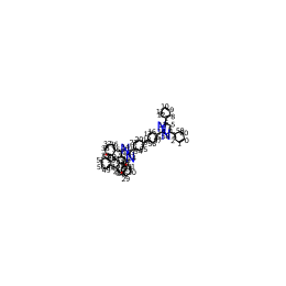 c1ccc(-c2cc(-c3ccccc3)nc(-c3ccc(-c4ccc(-c5nc(-c6ccccc6)c6c(n5)-c5ccccc5C65c6ccccc6-c6ccccc65)cc4)cc3)n2)cc1